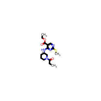 CCOC(=O)c1cnc(SC)nc1N[C@@H]1CCCN(C(=O)CC)C1